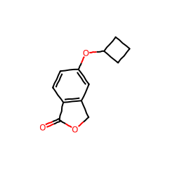 O=C1OCc2cc(OC3CCC3)ccc21